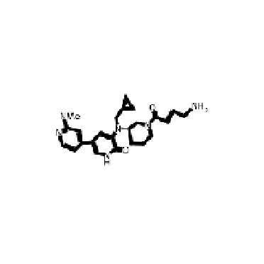 CNc1cc(-c2c[nH]c(=O)c(N(CC3CC3)[C@@H]3CCCN(C(=O)/C=C/CN)C3)c2)ccn1